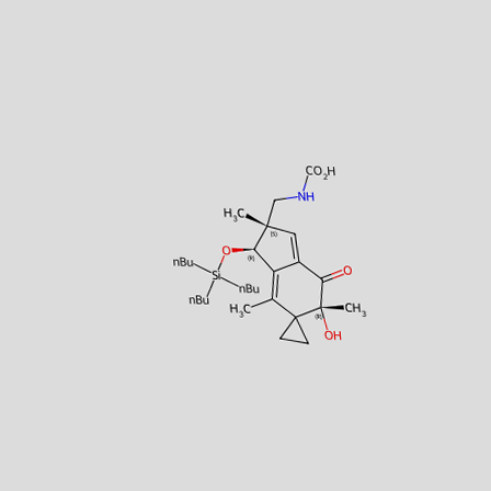 CCCC[Si](CCCC)(CCCC)O[C@@H]1C2=C(C)C3(CC3)[C@@](C)(O)C(=O)C2=C[C@@]1(C)CNC(=O)O